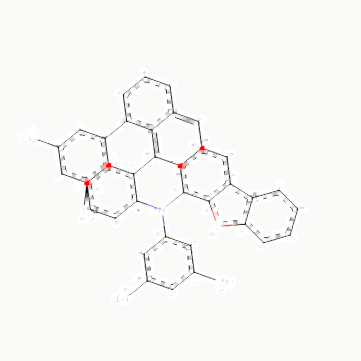 CC(C)(C)c1cc(-c2cccc3c2=C(c2ccccc2N(c2cc(C(C)(C)C)cc(C(C)(C)C)c2)c2cccc4c2oc2ccccc24)CCC=3)cc(C(C)(C)C)c1